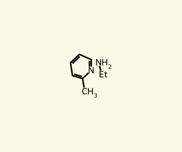 CCN.Cc1ccccn1